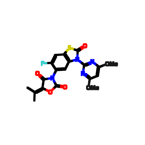 COc1cc(OC)nc(-n2c(=O)sc3cc(F)c(N4C(=O)OC(=C(C)C)C4=O)cc32)n1